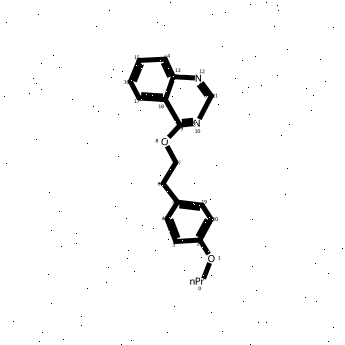 CCCOc1ccc(CCOc2ncnc3ccccc23)cc1